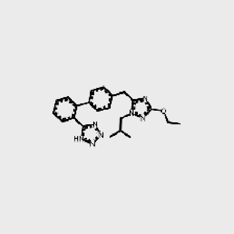 CCOc1nc(Cc2ccc(-c3ccccc3-c3nnn[nH]3)cc2)n(CC(C)C)n1